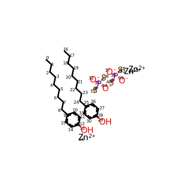 CCCCCCCCCc1ccc(O)cc1.CCCCCCCCCc1ccc(O)cc1.[O-]P([O-])(=S)[S-].[O-]P([O-])(=S)[S-].[Zn+2].[Zn+2].[Zn+2]